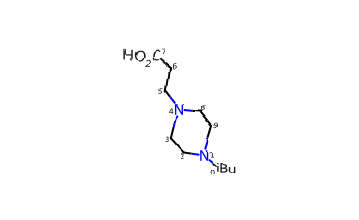 CCC(C)N1CCN(CCC(=O)O)CC1